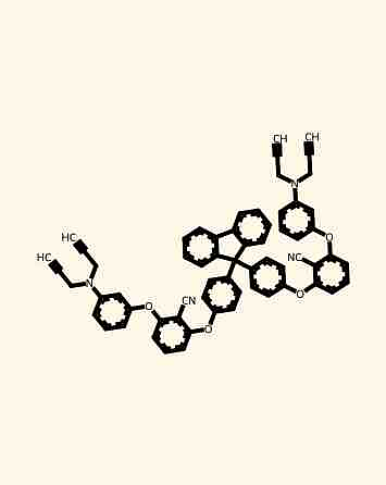 C#CCN(CC#C)c1cccc(Oc2cccc(Oc3ccc(C4(c5ccc(Oc6cccc(Oc7cccc(N(CC#C)CC#C)c7)c6C#N)cc5)c5ccccc5-c5ccccc54)cc3)c2C#N)c1